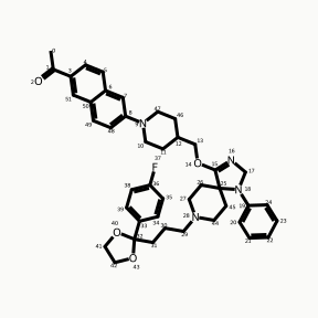 CC(=O)c1ccc2cc(N3CCC(COC4=NCN(c5ccccc5)C45CCN(CCCC4(c6ccc(F)cc6)OCCO4)CC5)CC3)ccc2c1